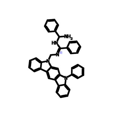 NC(N/C(=N\Cn1c2ccccc2c2cc3c4ccccc4n(-c4ccccc4)c3cc21)c1ccccc1)c1ccccc1